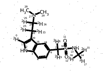 [2H]c1[nH]c2ccc(C([2H])([2H])S(=O)(=O)NC([2H])([2H])[2H])cc2c1C([2H])([2H])C([2H])([2H])N(C)C